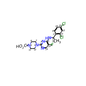 CC(Nc1nc(N2CCN(C(=O)O)CC2)ncc1F)c1ccc(Cl)cc1Cl